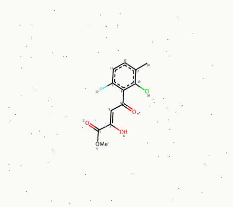 COC(=O)/C(O)=C/C(=O)c1c(F)ccc(C)c1Cl